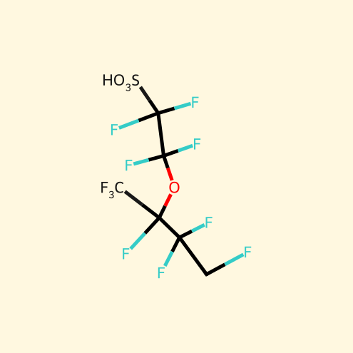 O=S(=O)(O)C(F)(F)C(F)(F)OC(F)(C(F)(F)F)C(F)(F)CF